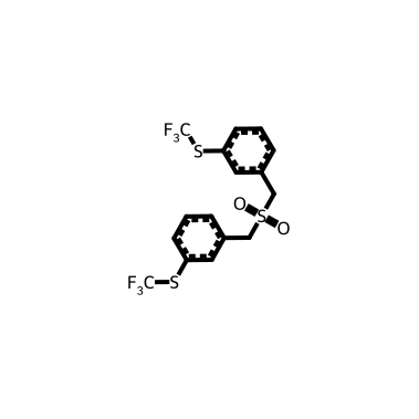 O=S(=O)(Cc1cccc(SC(F)(F)F)c1)Cc1cccc(SC(F)(F)F)c1